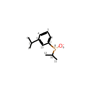 CC(C)c1cccc([S+]([O-])C(C)C)c1